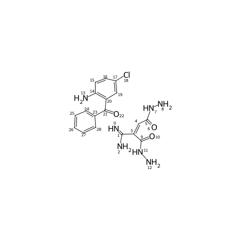 N=C(N)/C(=C/C(=O)NN)C(=O)NN.Nc1ccc(Cl)cc1C(=O)c1ccccc1